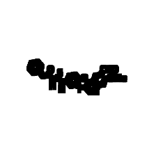 COC/C=c1/nccc(Oc2ccc(NC(=S)NC(=O)Cc3ccccc3)cc2F)/c1=C/CC=O